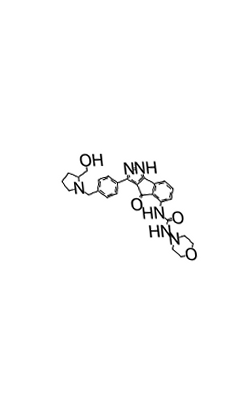 O=C(Nc1cccc2c1C(=O)c1c(-c3ccc(CN4CCCC4CO)cc3)n[nH]c1-2)NN1CCOCC1